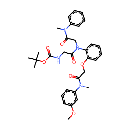 COc1cccc(N(C)C(=O)COc2ccccc2N(CC(=O)N(C)c2ccccc2)C(=O)CNC(=O)OC(C)(C)C)c1